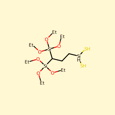 CCO[Si](OCC)(OCC)C(CC[SiH](S)S)[Si](OCC)(OCC)OCC